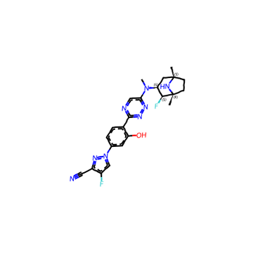 CN(c1cnc(-c2ccc(-n3cc(F)c(C#N)n3)cc2O)nn1)[C@H]1C[C@]2(C)CC[C@@](C)(N2)[C@H]1F